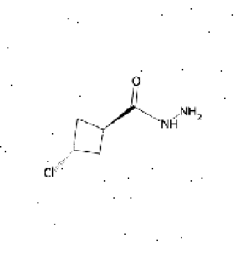 NNC(=O)[C@H]1C[C@H](Cl)C1